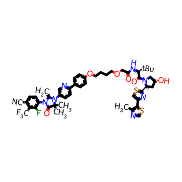 C=C1N(c2ccc(C#N)c(C(F)(F)F)c2F)C(=O)C(C)(C)N1c1ccc(-c2ccc(OCCCCOCC(=O)N[C@H](C(=O)N3C[C@H](O)C[C@H]3c3nc(-c4scnc4C)cs3)C(C)(C)C)cc2)nc1